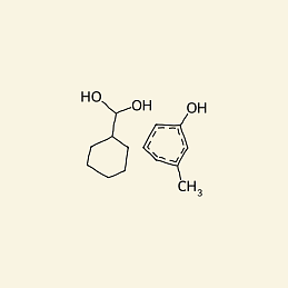 Cc1cccc(O)c1.OC(O)C1CCCCC1